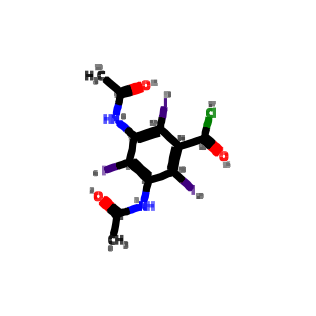 CC(=O)Nc1c(I)c(NC(C)=O)c(I)c(C(=O)Cl)c1I